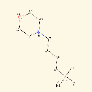 CCC(C)(C)CCCCN1CCOCC1